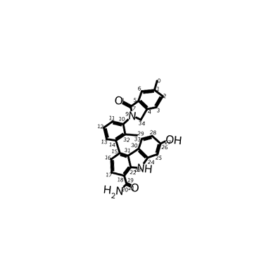 Cc1ccc2c(c1)C(=O)N(c1cccc(-c3ccc(C(N)=O)c4[nH]c5cc(O)ccc5c34)c1C)C2